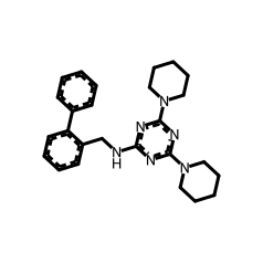 c1ccc(-c2ccccc2CNc2nc(N3CCCCC3)nc(N3CCCCC3)n2)cc1